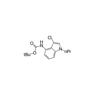 CCCn1cc(Cl)c2c(NC(=O)OC(C)(C)C)cccc21